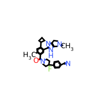 Cc1cc(C2CCC2)c(-c2nc3c([nH]2)CN(C)CC3)cc1C(=O)N1CCC(F)(c2ccc(C#N)cc2)CC1